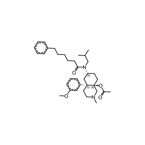 COc1cccc([C@@]23CCN(C)C[C@@]2(OC(C)=O)CC[C@@H](N(CC(C)C)C(=O)CCCCCc2ccccc2)C3)c1